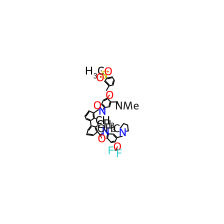 CNCc1cc2nc(-c3cccc(-c4cccc(-c5nc6cc(CN7CCC[C@H]7C=O)c(OC(F)F)cc6o5)c4C)c3C)oc2cc1OCc1cccc(S(C)(=O)=O)c1